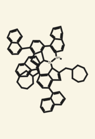 C[SiH](C)[Zr]([CH]1C(CC2CCCCCC2)=Cc2c(-c3cccc4ccccc34)ccc(-c3cccc4ccccc34)c21)[CH]1C(CC2CCCCCC2)=Cc2c(-c3cccc4ccccc34)ccc(-c3cccc4ccccc34)c21